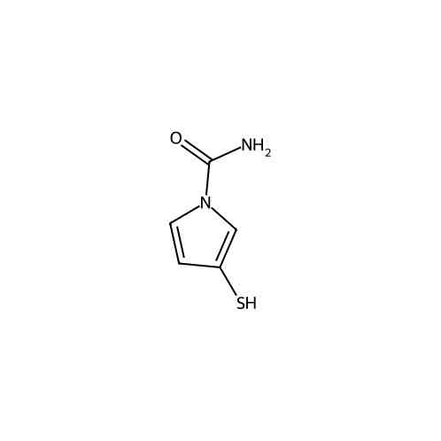 NC(=O)n1ccc(S)c1